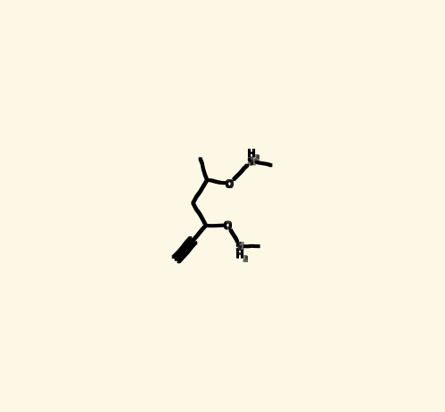 C#CC(CC(C)O[SiH2]C)O[SiH2]C